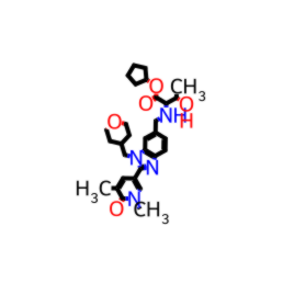 Cc1cc(-c2nc3ccc(CNC(C(=O)OC4CCCC4)C(C)O)cc3n2CC2CCOCC2)cn(C)c1=O